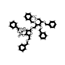 CCOCC(OCc1ccccc1)C(OCc1ccccc1)C(COC1OC(COCc2ccccc2)C(OP(=O)(OCc2ccccc2)C(C)C)C1OC)OCc1ccccc1